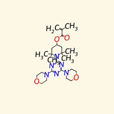 C=C(C)C(=O)OC1CC(C)(C)N(c2nc(N3CCOCC3)nc(N3CCOCC3)n2)C(C)(C)C1